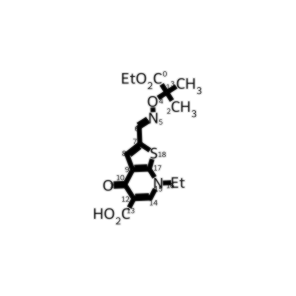 CCOC(=O)C(C)(C)ON=Cc1cc2c(=O)c(C(=O)O)cn(CC)c2s1